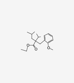 CCOC(=O)C(Cc1ccccc1OC)(CC(C)C)C(C)C